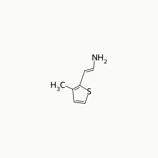 Cc1ccsc1/C=C/N